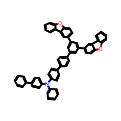 c1ccc(-c2ccc(N(c3ccccc3)c3ccc(-c4ccc(-c5cc(-c6ccc7oc8ccccc8c7c6)cc(-c6ccc7oc8ccccc8c7c6)c5)cc4)cc3)cc2)cc1